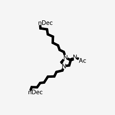 CCCCCCCCCCCCCCCCCCN1CC(=NC(C)=O)N(CCCCCCCCCCCCCCCCCC)C1